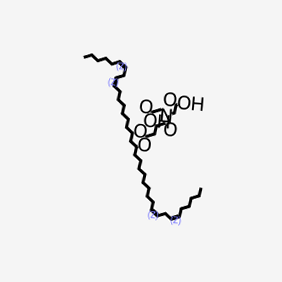 CCCCC/C=C\C/C=C\CCCCCCCCC(CCCCCCCC/C=C\C/C=C\CCCCC)OC(=O)CCC(=O)N(CC(=O)O)CC(=O)O